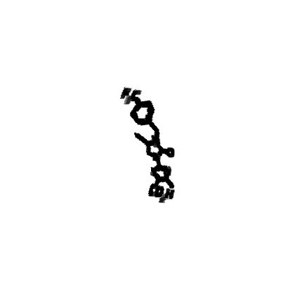 Cc1nc(N2CC(C)N(Cc3ccc(C(F)(F)F)cc3)C2=O)sc1C(=O)O